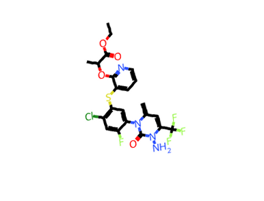 C=C1C=C(C(F)(F)F)N(N)C(=O)N1c1cc(Sc2cccnc2OC(C)C(=O)OCC)c(Cl)cc1F